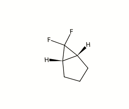 FC1(F)[C@@H]2CCC[C@@H]21